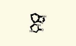 O=C1CNC=CN1.c1ccc2[nH]cnc2c1